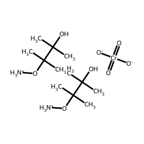 CC(C)(O)C(C)(C)O[NH3+].CC(C)(O)C(C)(C)O[NH3+].[O]=[Cr](=[O])([O-])[O-]